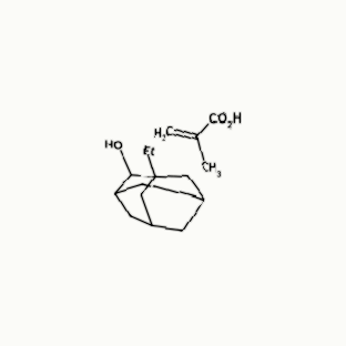 C=C(C)C(=O)O.CCC12CC3CC(CC(C3)C1O)C2